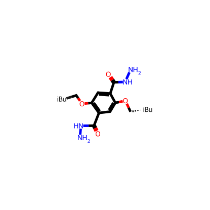 CCC(C)COc1cc(C(=O)NN)c(OC[C@@H](C)CC)cc1C(=O)NN